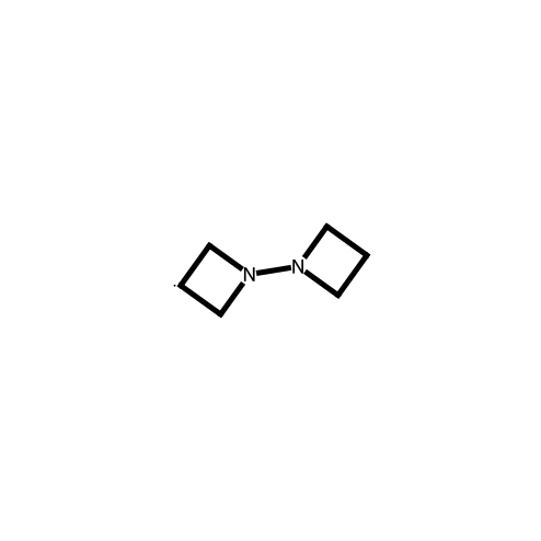 [CH]1CN(N2CCC2)C1